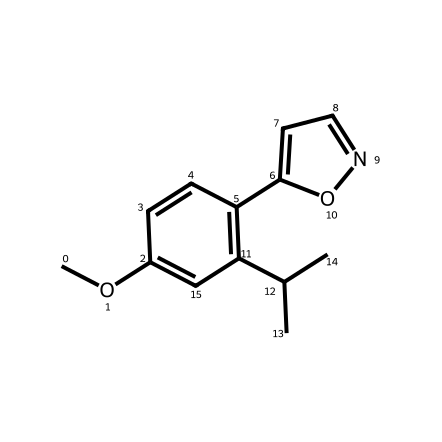 COc1ccc(-c2ccno2)c(C(C)C)c1